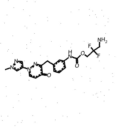 Cn1cc(-n2ccc(=O)c(Cc3cccc(NC(=O)OCC(F)(F)CN)c3)n2)cn1